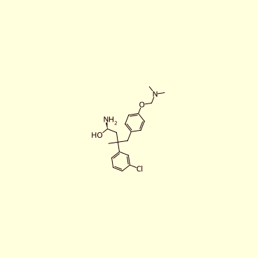 CN(C)COc1ccc(CC(C)(C[C@H](N)O)c2cccc(Cl)c2)cc1